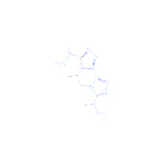 CC(Cn1nnnc1N(C)N)n1nnnc1N(C)N